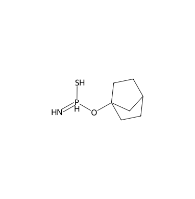 N=[PH](S)OC12CCC(CC1)C2